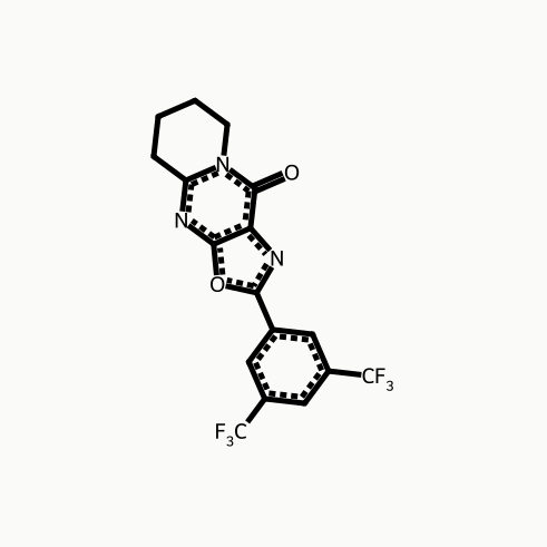 O=c1c2nc(-c3cc(C(F)(F)F)cc(C(F)(F)F)c3)oc2nc2n1CCCC2